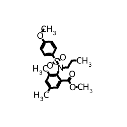 CCCN(c1c(C)cc(C)cc1C(=O)OC)S(=O)(=O)c1ccc(OC)cc1